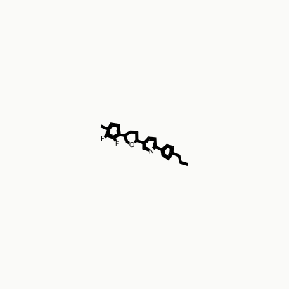 CCCc1ccc(-c2ccc(C3CCC(c4ccc(C)c(F)c4F)CO3)cn2)cc1